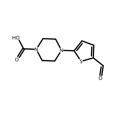 O=Cc1ccc(N2CCN(C(=O)O)CC2)s1